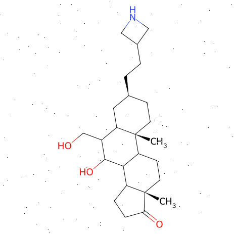 C[C@]12CC[C@H](CCC3CNC3)CC1C(CO)C(O)C1C2CC[C@]2(C)C(=O)CCC12